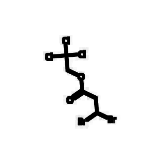 O=C(CC(Br)Br)OCC(Cl)(Cl)Cl